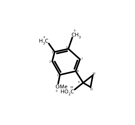 COc1cc(C)c(C)cc1C1(C(=O)O)CC1